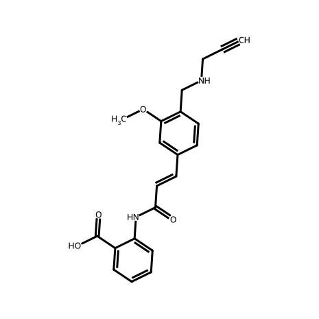 C#CCNCc1ccc(/C=C/C(=O)Nc2ccccc2C(=O)O)cc1OC